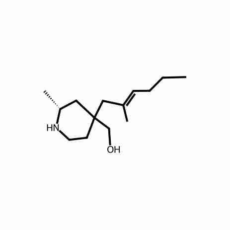 CCC/C=C(\C)CC1(CO)CCN[C@H](C)C1